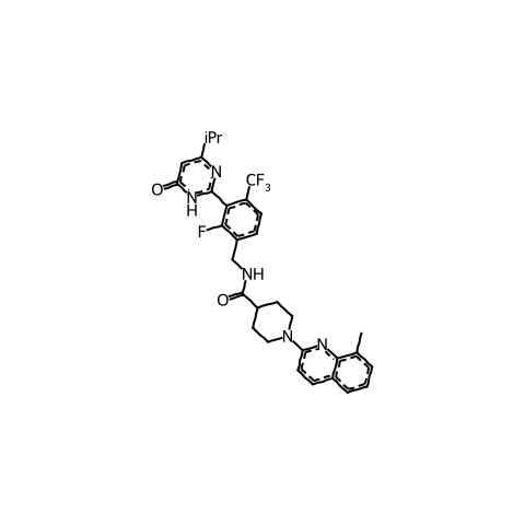 Cc1cccc2ccc(N3CCC(C(=O)NCc4ccc(C(F)(F)F)c(-c5nc(C(C)C)cc(=O)[nH]5)c4F)CC3)nc12